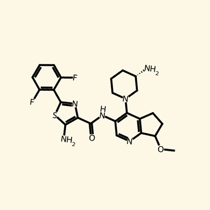 COC1CCc2c1ncc(NC(=O)c1nc(-c3c(F)cccc3F)sc1N)c2N1CCC[C@H](N)C1